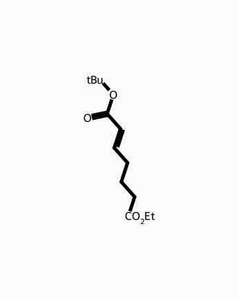 CCOC(=O)CCC/C=C/C(=O)OC(C)(C)C